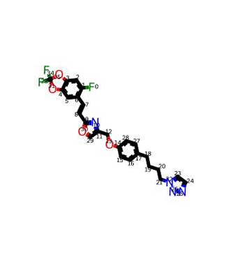 Fc1cc2c(cc1C=Cc1nc(COc3ccc(CCCCn4ccnn4)cc3)co1)OC(F)(F)O2